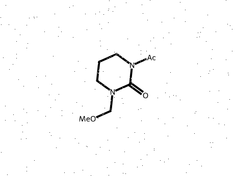 COCN1CCCN(C(C)=O)C1=O